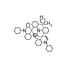 CC1(C)c2cccc3c2N2c4c1cccc4C1(c4ccccc4N(c4ccccc4)c4ccccc41)c1cccc(c12)C31c2ccccc2N(c2ccccc2)c2ccccc21